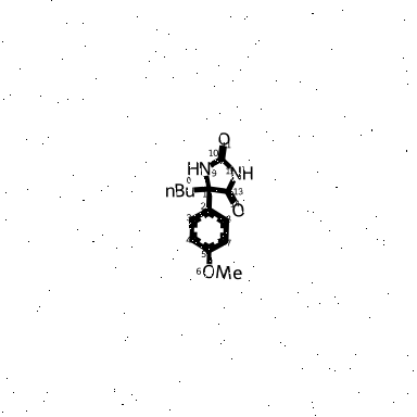 CCCCC1(c2ccc(OC)cc2)NC(=O)NC1=O